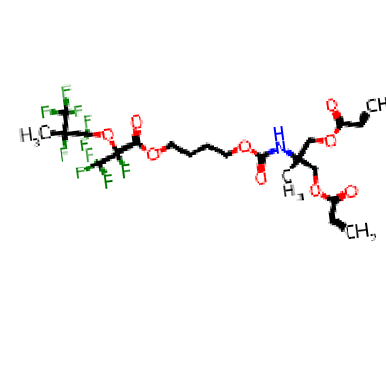 C=CC(=O)OCC(C)(COC(=O)C=C)NC(=O)OCCCCOC(=O)C(F)(OC(F)(F)C(C)(F)C(F)(F)F)C(F)(F)F